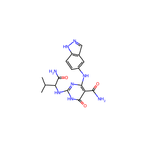 CC(C)C(Nc1nc(Nc2ccc3[nH]ncc3c2)c(C(N)=O)c(=O)[nH]1)C(N)=O